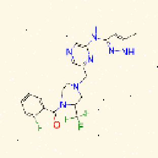 Cc1cc(Nc2cncc(CN3CCN(C(=O)c4ccccc4F)C(C(F)(F)F)C3)n2)n[nH]1